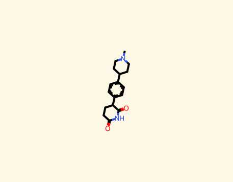 CN1CCC(c2ccc(C3CCC(=O)NC3=O)cc2)CC1